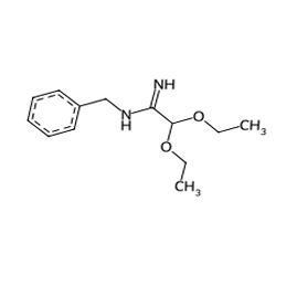 CCOC(OCC)C(=N)NCc1ccccc1